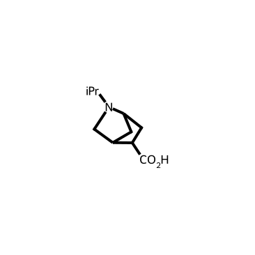 CC(C)N1CC2CC1CC2C(=O)O